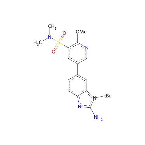 COc1ncc(-c2ccc3nc(N)n(C(C)(C)C)c3c2)cc1S(=O)(=O)N(C)C